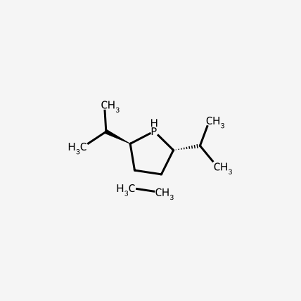 CC.CC(C)[C@@H]1CC[C@@H](C(C)C)P1